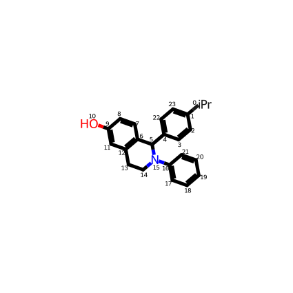 CC(C)c1ccc(C2c3ccc(O)cc3CCN2c2ccccc2)cc1